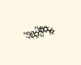 CCN(Cc1ccc(C(=O)Nc2cc(-c3cccs3)ccc2N)cc1)C(=O)O